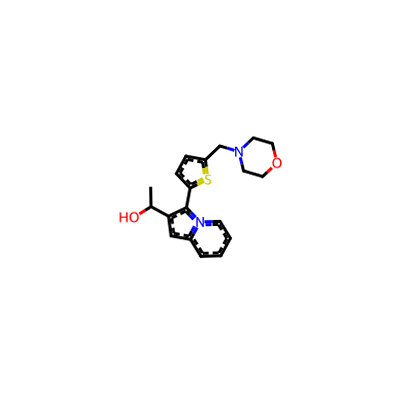 CC(O)c1cc2ccccn2c1-c1ccc(CN2CCOCC2)s1